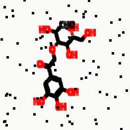 O=C[C@H](O)[C@@H](OCC(=O)c1cc(O)c(O)c(O)c1)[C@H](O)[C@H](O)CO